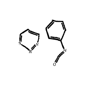 O=C=Nc1ccccc1.c1cnnnc1